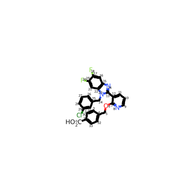 O=C(O)c1ccc(COc2ncccc2-c2nc3cc(F)c(F)cc3n2Cc2cccc(Cl)c2)cc1